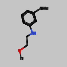 CCOCCNc1cccc(NC(C)=O)c1